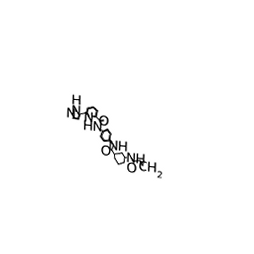 C=CC(=O)NC1CCCC(C(=O)Nc2ccc(NC(=O)c3cccc(-c4ccn[nH]4)n3)cc2)C1